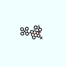 CC(C)(C)c1cc(-c2cccc3cccc(-c4ccccc4N(c4ccc(-c5cccc6c5-c5ccccc5C6(c5ccccc5)c5ccccc5)cc4)c4cccc5sc6ccccc6c45)c23)cc(C(C)(C)C)c1